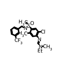 CCN(C)C=Nc1cc(C)c(S(C)(=O)=NCc2cccc(C(F)(F)F)c2)cc1Cl